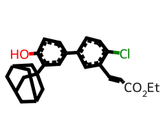 CCOC(=O)/C=C/c1cc(-c2ccc(O)c(C34CC5CC(CC(C5)C3)C4)c2)ccc1Cl